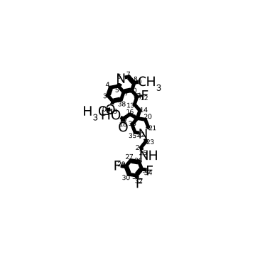 COc1ccc2ncc(C)c([C@@H](F)CCC3(CC(=O)O)CCN(CCNc4cc(F)cc(F)c4F)CC3)c2c1